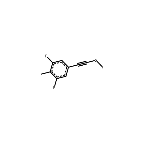 Cc1c(F)cc(C#CSI)cc1F